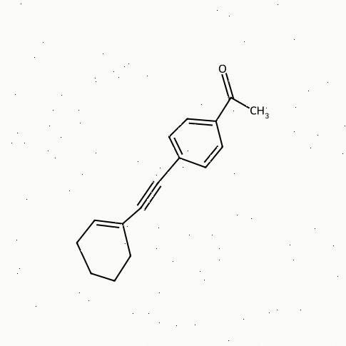 CC(=O)c1ccc(C#CC2=CCCCC2)cc1